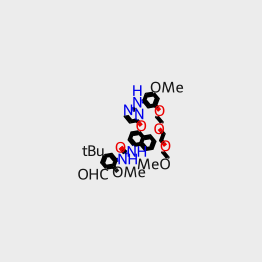 COCCOCCOCCOc1cc(Nc2nccc(Oc3ccc(NC(=O)Nc4cc(C(C)(C)C)cc(C=O)c4OC)c4ccccc34)n2)cc(OC)c1